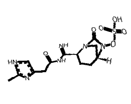 Cc1nc(CC(=O)NC(=N)[C@@H]2CC[C@@H]3CN2C(=O)N3OS(=O)(=O)O)c[nH]1